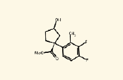 COC(=O)[C@@]1(c2ccc(F)c(F)c2C)CCC(O)C1